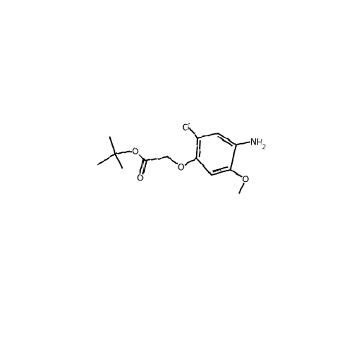 COc1cc(OCC(=O)OC(C)(C)C)c(Cl)cc1N